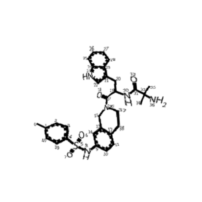 Cc1ccc(S(=O)(=O)Nc2ccc3c(c2)CN(C(=O)C(Cc2c[nH]c4ccccc24)NC(=O)C(C)(C)N)CC3)cc1